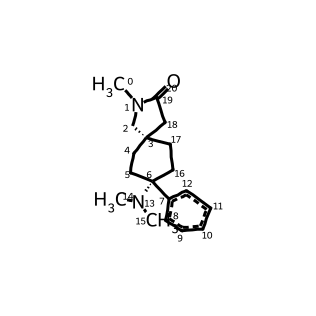 CN1C[C@]2(CC[C@@](c3ccccc3)(N(C)C)CC2)CC1=O